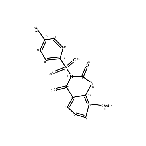 COc1cccc2c(=O)n(S(=O)(=O)c3ccc(Cl)cc3)c(=O)[nH]c12